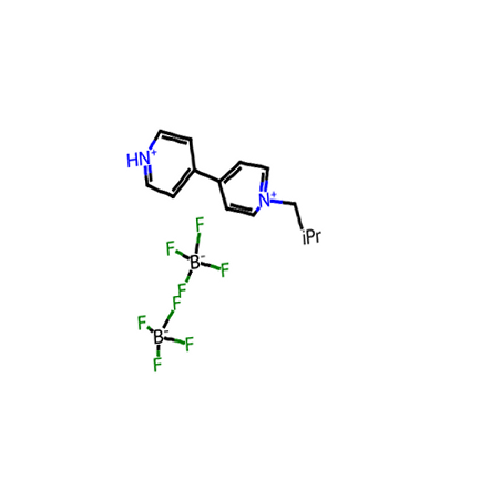 CC(C)C[n+]1ccc(-c2cc[nH+]cc2)cc1.F[B-](F)(F)F.F[B-](F)(F)F